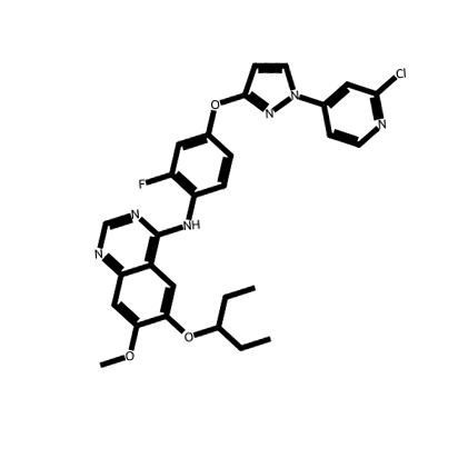 CCC(CC)Oc1cc2c(Nc3ccc(Oc4ccn(-c5ccnc(Cl)c5)n4)cc3F)ncnc2cc1OC